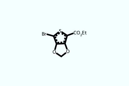 CCOC(=O)c1sc(Br)c2c1OCO2